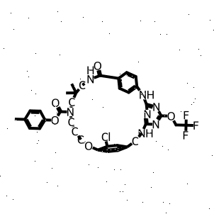 Cc1ccc(OC(=O)N2CCCOc3ccc(cc3Cl)CNc3nc(nc(OCC(F)(F)F)n3)Nc3ccc(cc3)C(=O)NCC(C)(C)C2)cc1